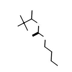 CCCCOC(=O)NC(C)C(C)(C)F